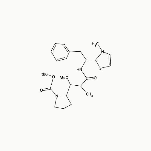 COC(C(C)C(=O)NC(Cc1ccccc1)C1SC=CN1C)C1CCCN1C(=O)OC(C)(C)C